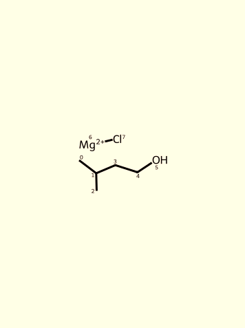 CC(C)CCO.[Mg+2][Cl]